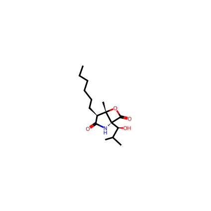 CCCCCC[C@@H]1C(=O)N[C@@]2([C@@H](O)C(C)C)C(=O)O[C@@]12C